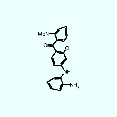 CNc1ccccc1C(=O)c1ccc(Nc2ccccc2N)cc1Cl